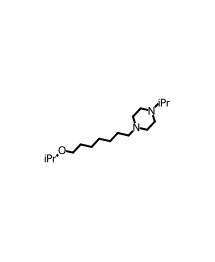 CC(C)OCCCCCCCN1CCN(C(C)C)CC1